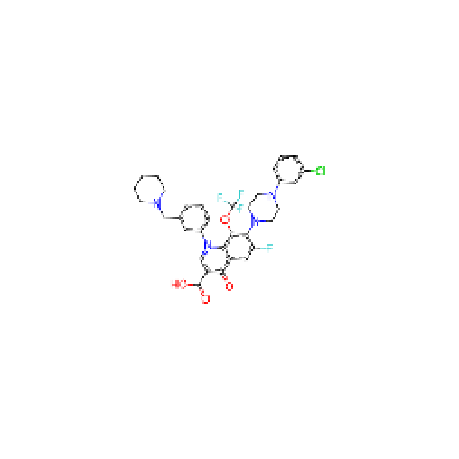 O=C(O)c1cn(-c2cccc(CN3CCCCC3)c2)c2c(OC(F)(F)F)c(N3CCN(c4cccc(Cl)c4)CC3)c(F)cc2c1=O